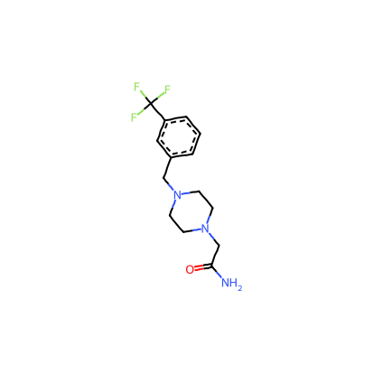 NC(=O)CN1CCN(Cc2cccc(C(F)(F)F)c2)CC1